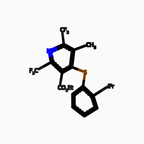 CCOC(=O)c1c(C(F)(F)F)nc(C(F)(F)F)c(C)c1Sc1ccccc1C(C)C